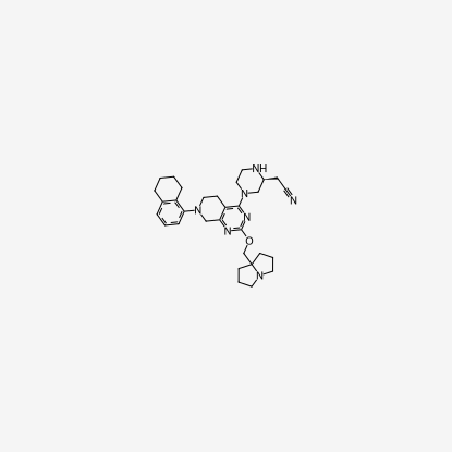 N#CC[C@H]1CN(c2nc(OCC34CCCN3CCC4)nc3c2CCN(c2cccc4c2CCCC4)C3)CCN1